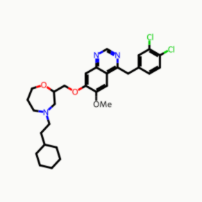 COc1cc2c(Cc3ccc(Cl)c(Cl)c3)ncnc2cc1OCC1CN(CCC2CCCCC2)CCCO1